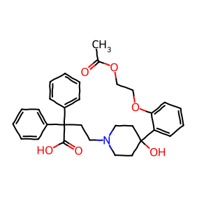 CC(=O)OCCOc1ccccc1C1(O)CCN(CCC(C(=O)O)(c2ccccc2)c2ccccc2)CC1